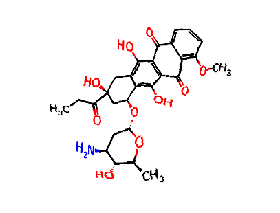 CCC(=O)[C@]1(O)Cc2c(O)c3c(c(O)c2[C@@H](O[C@H]2C[C@H](N)[C@@H](O)[C@H](C)O2)C1)C(=O)c1c(OC)cccc1C3=O